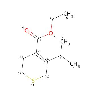 CCOC(=O)C1=C(C(C)C)CSCC1